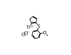 COc1ccccc1SC1=[C]([Ti+2])CC=C1.[Cl-].[Cl-]